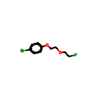 FCCOCCOc1ccc(Br)cc1